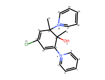 CC1(O)C([n+]2ccccc2)=CC(Cl)=CC1(C)[n+]1ccccc1